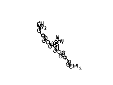 C=CC(=O)OCCc1ccc(OC(=O)[C@H]2CC[C@H](C(=O)Oc3ccc(OC(=O)[C@H]4CC[C@H](C(=O)C(=O)c5ccc(CCOC(=O)C=C)cc5)CC4)c4c3SC(=C(C#N)C#N)S4)CC2)cc1